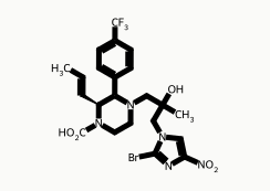 CC=C[C@H]1C(c2ccc(C(F)(F)F)cc2)N(CC(C)(O)Cn2cc([N+](=O)[O-])nc2Br)CCN1C(=O)O